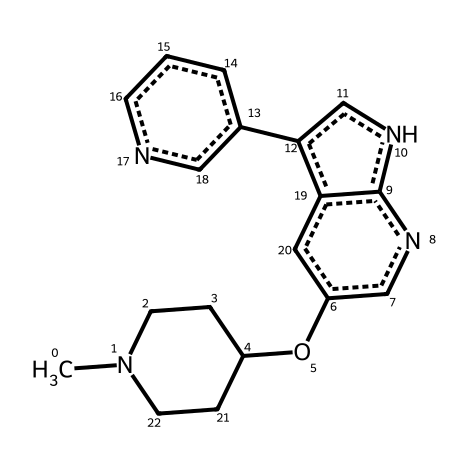 CN1CCC(Oc2cnc3[nH]cc(-c4cccnc4)c3c2)CC1